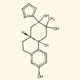 CCC12CC(C)(O)C(O)(c3ncco3)C[C@H]1CCc1cc(O)ccc12